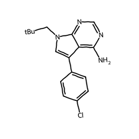 CC(C)(C)Cn1cc(-c2ccc(Cl)cc2)c2c(N)ncnc21